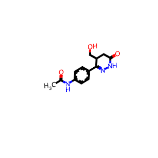 CC(=O)Nc1ccc(C2=NNC(=O)CC2CO)cc1